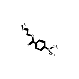 CN=CCOC(=O)c1ccc(N(C)C)cc1